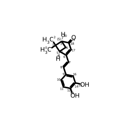 CC1(C)[C@@H]2C[C@H]1C(C=Cc1ccc(O)c(O)c1)=CC2=O